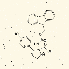 O=C(N[C@]1(C(=O)O)NCCC1c1ccc(O)cc1)OCC1c2ccccc2-c2ccccc21